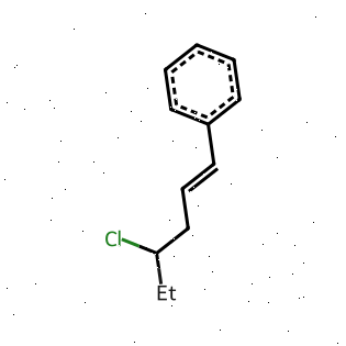 CCC(Cl)CC=Cc1ccccc1